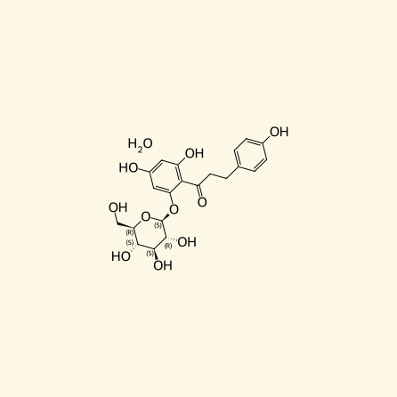 O.O=C(CCc1ccc(O)cc1)c1c(O)cc(O)cc1O[C@@H]1O[C@H](CO)[C@@H](O)[C@H](O)[C@H]1O